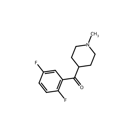 CN1CCC(C(=O)c2cc(F)ccc2F)CC1